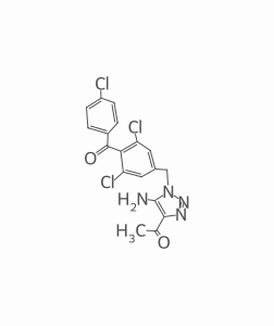 CC(=O)c1nnn(Cc2cc(Cl)c(C(=O)c3ccc(Cl)cc3)c(Cl)c2)c1N